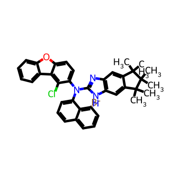 CC1(C)c2cc3nc(N(c4ccc5oc6ccccc6c5c4Cl)c4cccc5cccc(Br)c45)[nH]c3cc2C(C)(C)C1(C)C